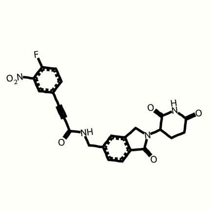 O=C(C#Cc1ccc(F)c([N+](=O)[O-])c1)NCc1ccc2c(c1)CN(C1CCC(=O)NC1=O)C2=O